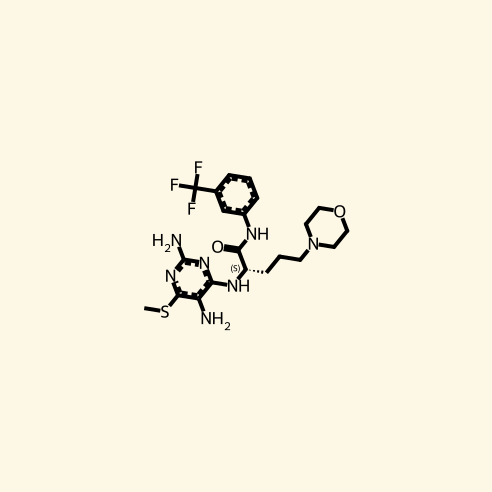 CSc1nc(N)nc(N[C@@H](CCCN2CCOCC2)C(=O)Nc2cccc(C(F)(F)F)c2)c1N